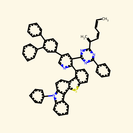 C=C(/C=C\C=C/C)c1nc(-c2ccccc2)nc(-c2cc(-c3ccc(-c4ccccc4)c(-c4ccccc4)c3)cnc2-c2cccc3sc4c(ccc5c4c4ccccc4n5-c4ccccc4)c23)n1